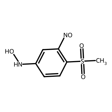 CS(=O)(=O)c1ccc(NO)cc1N=O